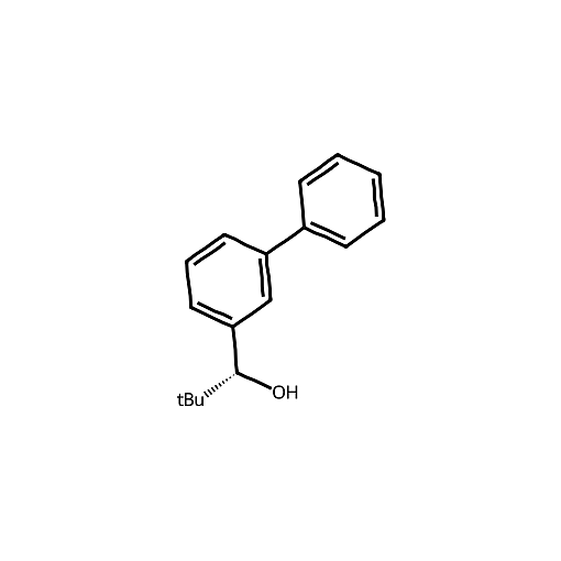 CC(C)(C)[C@@H](O)c1cccc(-c2ccccc2)c1